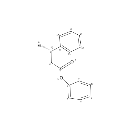 CC[C@@H](CC(=O)Oc1ccccc1)c1ccccc1